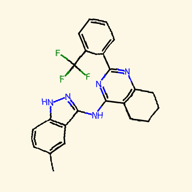 Cc1ccc2[nH]nc(Nc3nc(-c4ccccc4C(F)(F)F)nc4c3CCCC4)c2c1